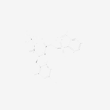 Cc1cc(C)c(C[C@H](NC(=O)[C@H](C)NS(=O)(=O)c2ccccc2[N+](=O)[O-])C(=O)OC(C)(C)C)c(C)c1